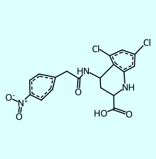 O=C(Cc1ccc([N+](=O)[O-])cc1)NC1CC(C(=O)O)Nc2cc(Cl)cc(Cl)c21